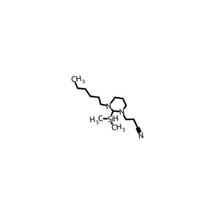 CCCCCCN1CCCN(CCC#N)C1[SiH](C)C